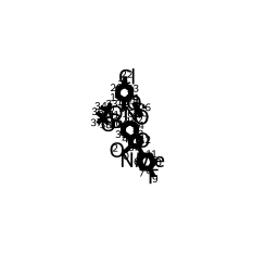 CNC(=O)c1c(-c2ccc(F)cc2)oc2cc(N(Cc3ccc(Cl)cc3)S(C)(=O)=O)c(B3OC(C)(C)C(C)(C)O3)cc12